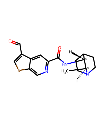 C[C@H]1[C@H](NC(=O)c2cc3c(C=O)csc3cn2)C2CCN1CC2